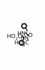 O=C(O)CNC(=O)[C@H](Cc1ccccc1)N[C@@H](Cc1ccccc1)C(=O)O